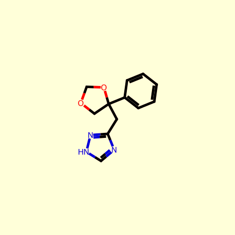 c1ccc(C2(Cc3nc[nH]n3)COCO2)cc1